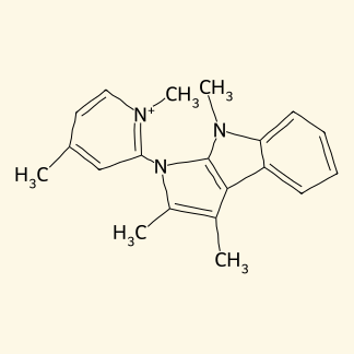 Cc1cc[n+](C)c(-n2c(C)c(C)c3c4ccccc4n(C)c32)c1